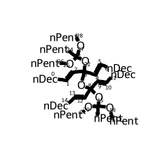 CCCCCCCCCCC=CC(C=CCCCCCCCCCC)(OC(C=CCCCCCCCCCC)(C=CCCCCCCCCCC)OC(CCCCC)(OCCCCC)OCCCCC)OC(CCCCC)(OCCCCC)OCCCCC